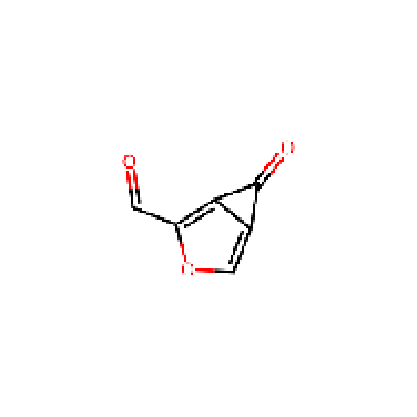 O=Cc1occ2c(=O)c12